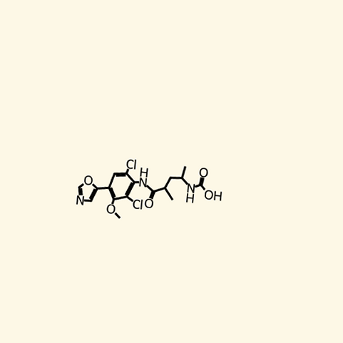 COc1c(-c2cnco2)cc(Cl)c(NC(=O)C(C)CC(C)NC(=O)O)c1Cl